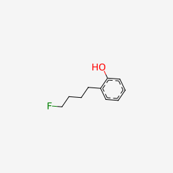 Oc1ccccc1CCCCF